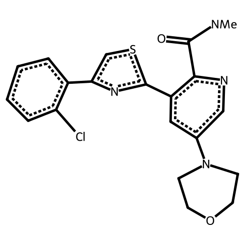 CNC(=O)c1ncc(N2CCOCC2)cc1-c1nc(-c2ccccc2Cl)cs1